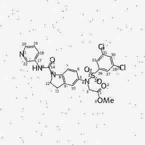 COC(=O)CN(c1ccc2c(c1)CCN2C(=O)Nc1cccnc1)S(=O)(=O)c1cc(Cl)cc(Cl)c1